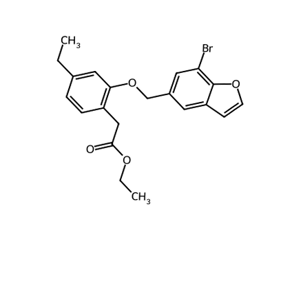 CCOC(=O)Cc1ccc(CC)cc1OCc1cc(Br)c2occc2c1